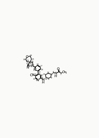 COCC(=O)NC[C@H]1CC[C@H](Nc2cc(-c3cccc(NCC4(C#N)CCOCC4)n3)c(Cl)cn2)CC1